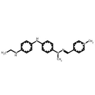 CCNc1ccc(Nc2ccc(N(C)/N=C/c3cc[n+](C)cc3)cc2)cc1